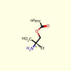 CCCCCC(=O)OC[C@@](N)(CC)C(=O)O